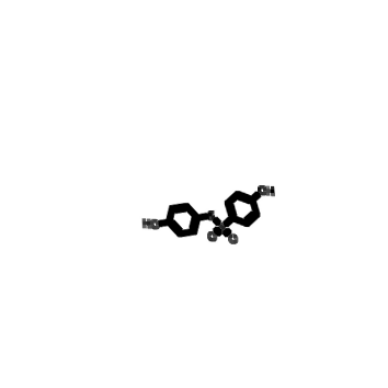 O=S(=O)(Sc1ccc(O)cc1)c1ccc(O)cc1